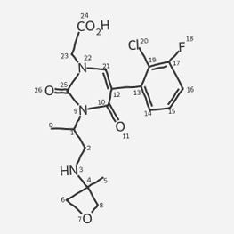 CC(CNC1(C)COC1)n1c(=O)c(-c2cccc(F)c2Cl)cn(CC(=O)O)c1=O